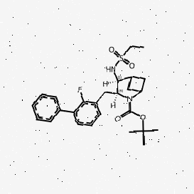 CCS(=O)(=O)N[C@H]1C2CC(C2)N(C(=O)OC(C)(C)C)[C@H]1Cc1cccc(-c2ccccc2)c1F